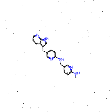 CNc1ccc(CNc2ccc(Cc3c[nH]c4ncccc34)cn2)cn1